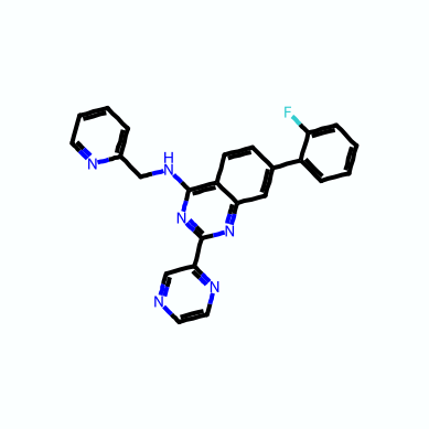 Fc1ccccc1-c1ccc2c(NCc3ccccn3)nc(-c3cnccn3)nc2c1